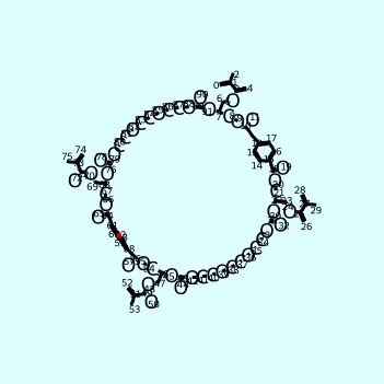 C=C(C)C(=C)OCC1COC(=O)c2ccc(cc2)C(=O)OCC(COC(=C)C(=C)C)OC(=O)OCCOCCOCCOC(=O)OC(COC(=O)C(=C)C)COC(=O)c2ccc(cc2)C(=O)OCC(COC(=O)C(=C)C)OC(=O)OCCOCCOCCOC(=O)O1